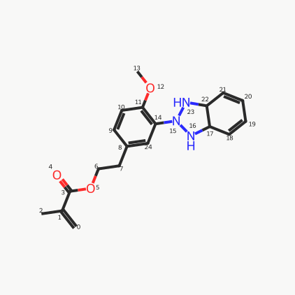 C=C(C)C(=O)OCCc1ccc(OC)c(N2NC3C=CC=CC3N2)c1